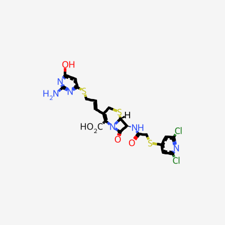 Nc1nc(O)cc(SCC=CC2=C(C(=O)O)N3C(=O)[C@@H](NC(=O)CSc4cc(Cl)nc(Cl)c4)[C@H]3SC2)n1